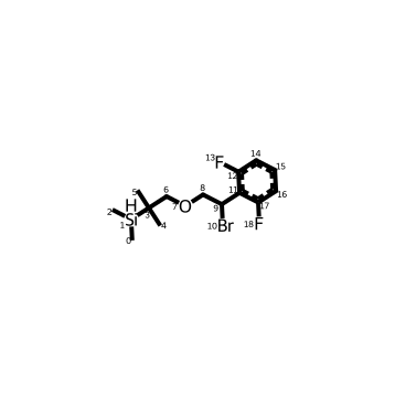 C[SiH](C)C(C)(C)COCC(Br)c1c(F)cccc1F